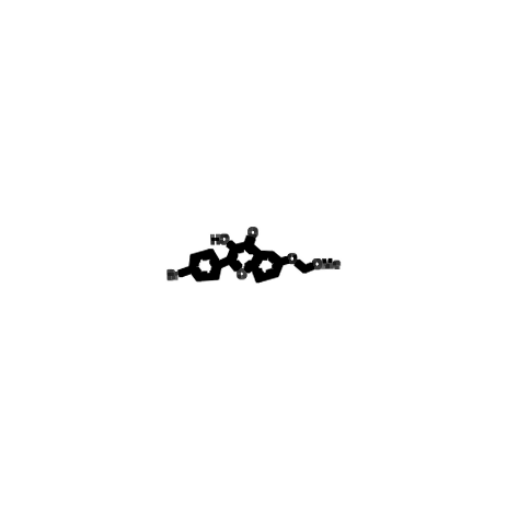 COCOc1ccc2oc(-c3ccc(Br)cc3)c(O)c(=O)c2c1